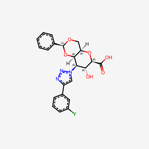 O=C(O)[C@@H]1O[C@@H]2CO[C@H](c3ccccc3)O[C@@H]2[C@H](n2cc(-c3cccc(F)c3)nn2)[C@H]1O